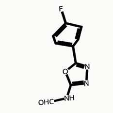 O=CNc1nnc(-c2ccc(F)cc2)o1